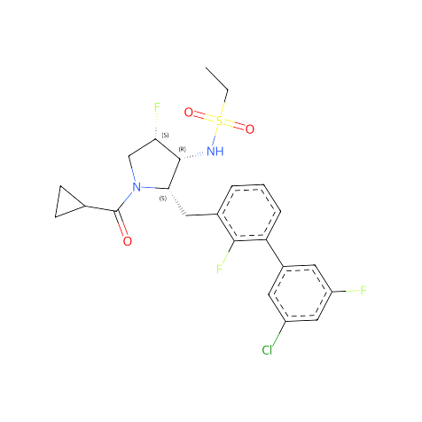 CCS(=O)(=O)N[C@H]1[C@@H](F)CN(C(=O)C2CC2)[C@H]1Cc1cccc(-c2cc(F)cc(Cl)c2)c1F